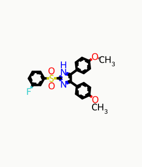 COc1ccc(-c2nc(S(=O)(=O)c3cccc(F)c3)[nH]c2-c2ccc(OC)cc2)cc1